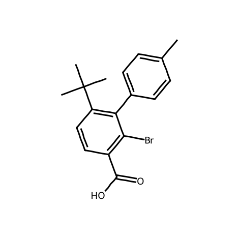 Cc1ccc(-c2c(C(C)(C)C)ccc(C(=O)O)c2Br)cc1